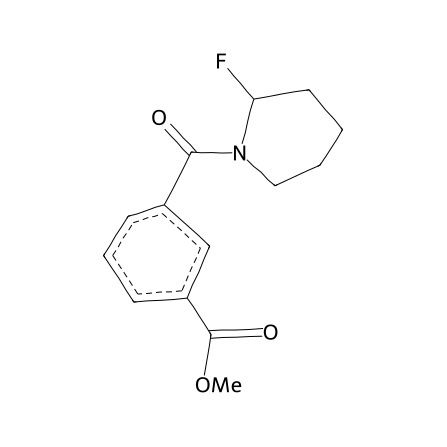 COC(=O)c1cccc(C(=O)N2CCCCC2F)c1